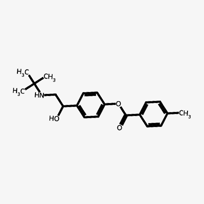 Cc1ccc(C(=O)Oc2ccc(C(O)CNC(C)(C)C)cc2)cc1